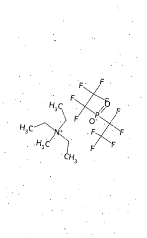 CC[N+](C)(CC)CC.O=P([O-])(C(F)(F)C(F)(F)F)C(F)(F)C(F)(F)F